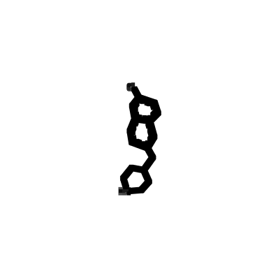 Clc1ccc2cc(CC3CCNCC3)ccc2c1